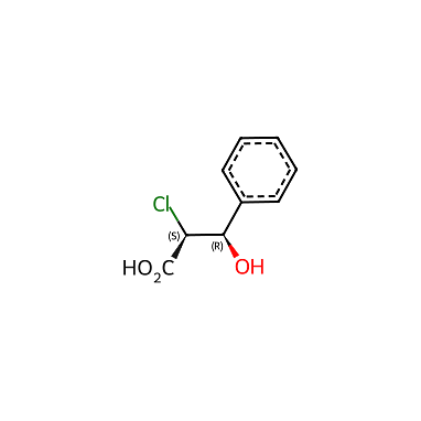 O=C(O)[C@@H](Cl)[C@H](O)c1ccccc1